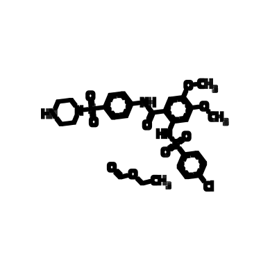 CCOC=O.COc1cc(NS(=O)(=O)c2ccc(Cl)cc2)c(C(=O)Nc2ccc(S(=O)(=O)N3CCNCC3)cc2)cc1OC